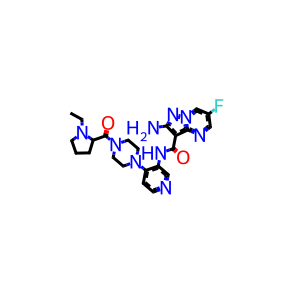 CCN1CCCC1C(=O)N1CCN(c2ccncc2NC(=O)c2c(N)nn3cc(F)cnc23)CC1